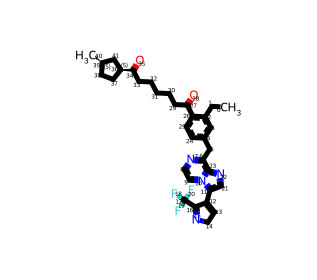 CCc1cc(Cc2nccn3c(C4=CCN=C4C(F)(F)F)cnc23)ccc1C(=O)CCCCCC(=O)[C@H]1CC[C@H](C)C1